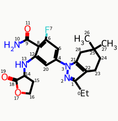 CCc1nn(-c2cc(F)c(C(N)=O)c(NC3CCOC3=O)c2)c2c1CCC(C)(C)C2